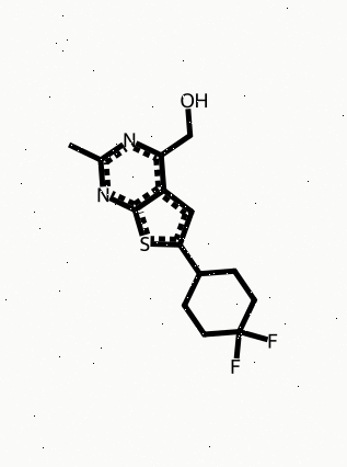 Cc1nc(CO)c2cc(C3CCC(F)(F)CC3)sc2n1